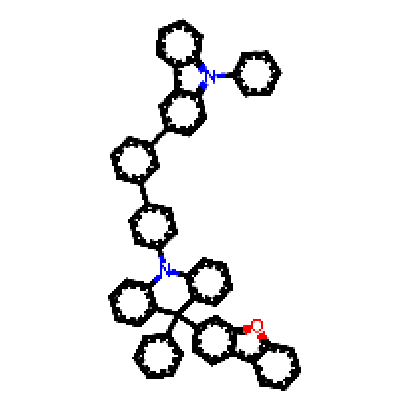 c1ccc(-n2c3ccccc3c3cc(-c4cccc(-c5ccc(N6c7ccccc7C(c7ccccc7)(c7ccc8c(c7)oc7ccccc78)c7ccccc76)cc5)c4)ccc32)cc1